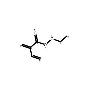 C=CC(=C)C(=O)OOCC